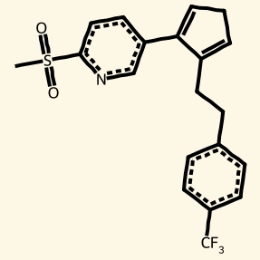 CS(=O)(=O)c1ccc(C2=CCC=C2CCc2ccc(C(F)(F)F)cc2)cn1